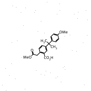 COC(=O)Cc1ccc(C(C)(C)c2ccc(OC)cc2)cc1C(=O)O